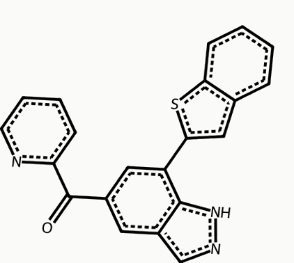 O=C(c1cc(-c2cc3ccccc3s2)c2[nH]ncc2c1)c1ccccn1